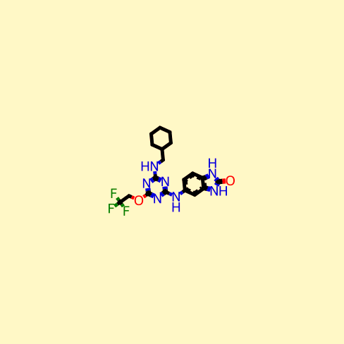 O=c1[nH]c2ccc(Nc3nc(NCC4CCCCC4)nc(OCC(F)(F)F)n3)cc2[nH]1